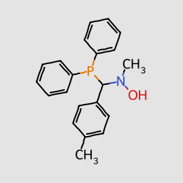 Cc1ccc(C(N(C)O)P(c2ccccc2)c2ccccc2)cc1